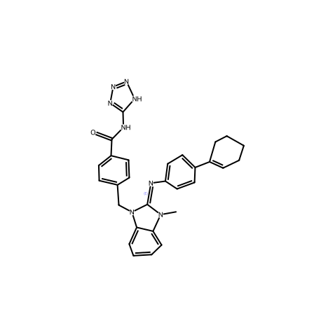 Cn1/c(=N\c2ccc(C3=CCCCC3)cc2)n(Cc2ccc(C(=O)Nc3nnn[nH]3)cc2)c2ccccc21